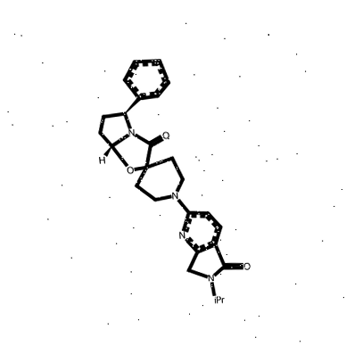 CC(C)N1Cc2nc(N3CCC4(CC3)O[C@@H]3CC[C@@H](c5ccccc5)N3C4=O)ccc2C1=O